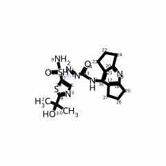 CC(C)(O)c1ncc([SH](N)(=O)/N=N/C(=O)Nc2c3c(nc4c2CCC4)CCC3)s1